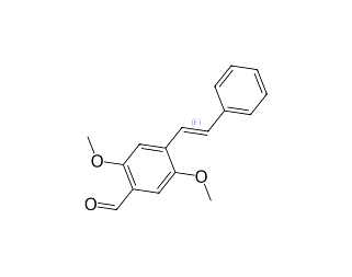 COc1cc(/C=C/c2ccccc2)c(OC)cc1C=O